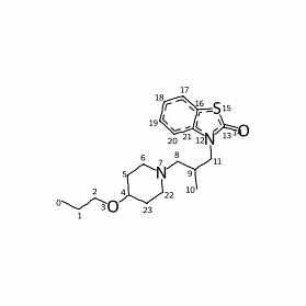 CCCOC1CCN(CC(C)Cn2c(=O)sc3ccccc32)CC1